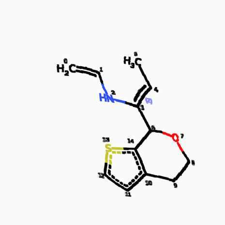 C=CN/C(=C\C)C1OCCc2ccsc21